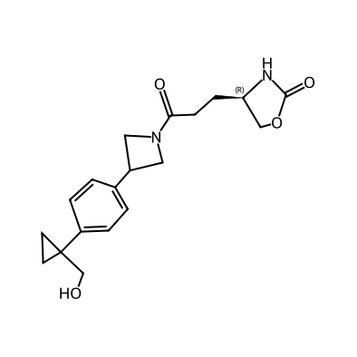 O=C1N[C@H](CCC(=O)N2CC(c3ccc(C4(CO)CC4)cc3)C2)CO1